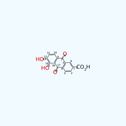 O=C(O)c1ccc2c(c1)C(=O)c1ccc(O)c(O)c1C2=O